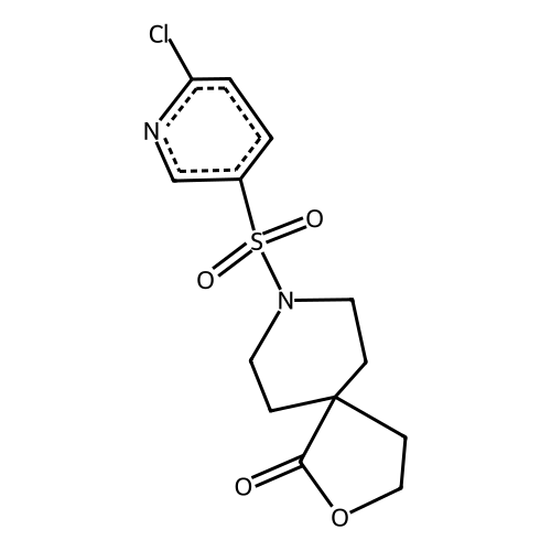 O=C1OCCC12CCN(S(=O)(=O)c1ccc(Cl)nc1)CC2